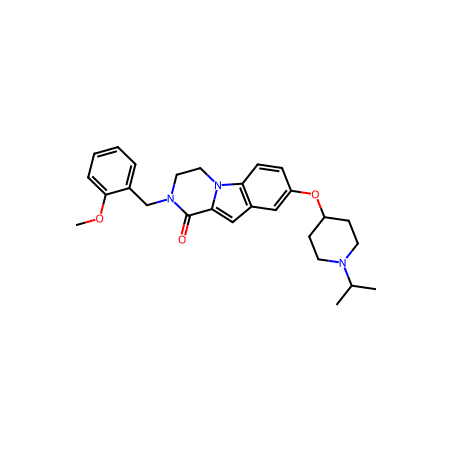 COc1ccccc1CN1CCn2c(cc3cc(OC4CCN(C(C)C)CC4)ccc32)C1=O